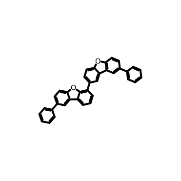 c1ccc(-c2ccc3oc4ccc(-c5cccc6c5oc5ccc(-c7ccccc7)cc56)cc4c3c2)cc1